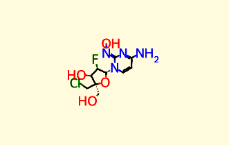 Nc1ccn([C@@H]2O[C@@](CO)(CCl)[C@@H](O)[C@H]2F)/c(=N/O)n1